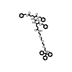 O=C(CCC(NC(=O)NC(CCC(=O)OCc1ccccc1)C(=O)OCc1ccccc1)C(=O)OCc1ccccc1)NCCOCCOCCOCCNC(c1ccccc1)(c1ccccc1)c1ccccc1